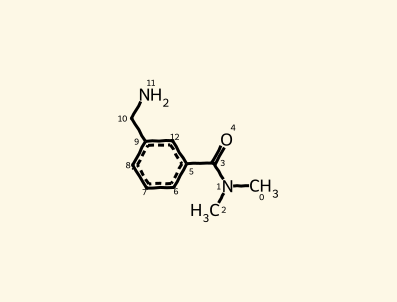 CN(C)C(=O)c1cc[c]c(CN)c1